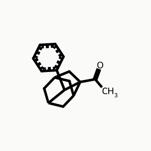 CC(=O)C12CC3CC(CC1C3)C2c1ccccc1